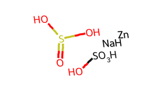 O=S(=O)(O)O.O=S(O)O.[NaH].[Zn]